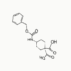 O=C(NC1CCC(C(=O)O)(C(=O)O)CC1)OCc1ccccc1